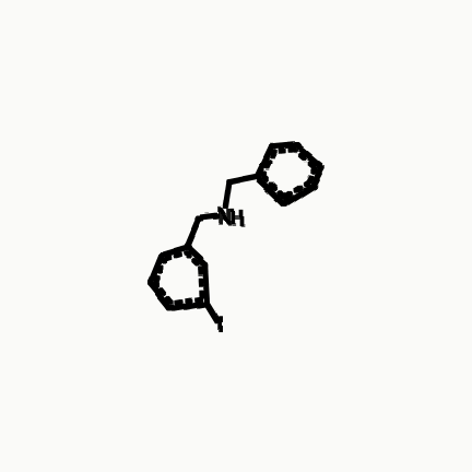 Ic1cccc(CNCc2ccccc2)c1